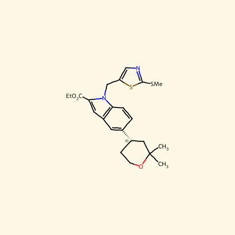 CCOC(=O)c1cc2cc([C@H]3CCOC(C)(C)C3)ccc2n1Cc1cnc(SC)s1